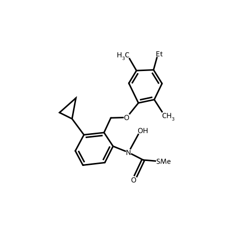 CCc1cc(C)c(OCc2c(C3CC3)cccc2N(O)C(=O)SC)cc1C